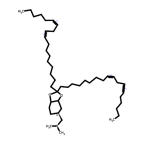 CCCCC/C=C\C/C=C\CCCCCCCCC1(CCCCCCCC/C=C\C/C=C\CCCCC)OC2CC[C@H](CN(C)C)CC2O1